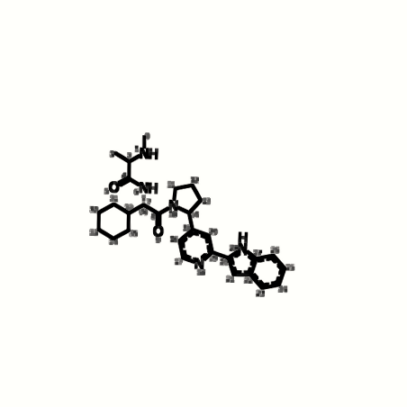 CNC(C)C(=O)N[C@H](C(=O)N1CCCC1c1ccnc(-c2cc3ccccc3[nH]2)c1)C1CCCCC1